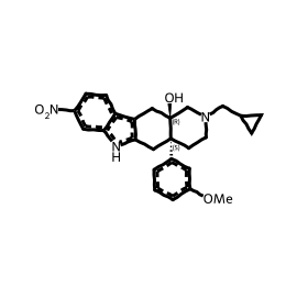 COc1cccc([C@@]23CCN(CC4CC4)C[C@@]2(O)Cc2c([nH]c4cc([N+](=O)[O-])ccc24)C3)c1